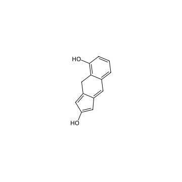 OC1=CC2=Cc3cccc(O)c3CC2=C1